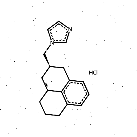 C[C@@]12CCCc3cccc(c31)C[C@H](Cn1ccnc1)C2.Cl